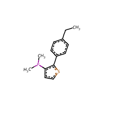 CCc1ccc(-c2sccc2P(C)C)cc1